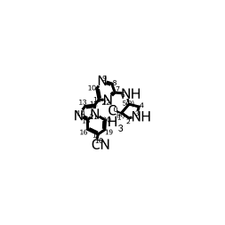 C[C@@H]1CNC[C@@H]1Nc1cncc(-c2cnc3cc(C#N)ccn23)n1